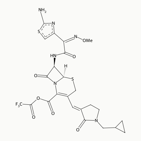 CO/N=C(\C(=O)N[C@@H]1C(=O)N2C(C(=O)OC(=O)C(F)(F)F)=C(C=C3CCN(CC4CC4)C3=O)CS[C@H]12)c1csc(N)n1